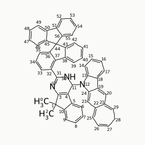 CC1(C)C2=C(c3ccccc31)C(n1c3ccccc3c3cc4c(cc31)=CC=CCC=4)NC(c1cccc3c1-c1ccccc1C31c3ccccc3-c3ccccc31)=N2